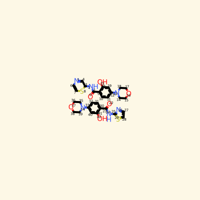 O=C(NC1C=NC=CS1)c1ccc(N2CCOCC2)cc1O.O=C(Nc1nccs1)c1ccc(N2CCOCC2)cc1O